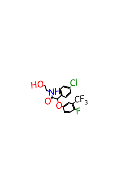 O=C(NCCO)C(Oc1ccc(F)c(C(F)(F)F)c1)c1ccc(Cl)cc1